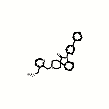 O=C(O)Cc1cccnc1CN1CCC2(CC1)C(=O)N(c1ccc(-c3ccccc3)cc1)c1ccccc12